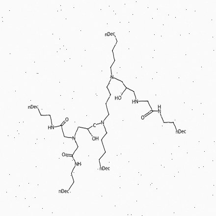 CCCCCCCCCCCCCCN(CCCCN(CCCCCCCCCCCCCC)CC(O)CN(CC(=O)NCCCCCCCCCCCC)CC(=O)NCCCCCCCCCCCC)CC(O)CNCC(=O)NCCCCCCCCCCCC